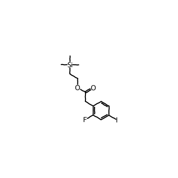 C[Si](C)(C)CCOC(=O)Cc1ccc(I)cc1F